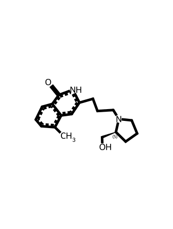 Cc1cccc2c(=O)[nH]c(CCCN3CCC[C@H]3CO)cc12